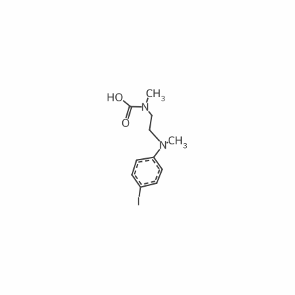 CN(CCN(C)c1ccc(I)cc1)C(=O)O